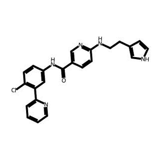 O=C(Nc1ccc(Cl)c(-c2ccccn2)c1)c1ccc(NCCc2cc[nH]c2)nc1